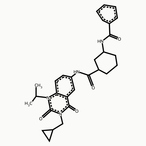 CC(C)n1c(=O)n(CC2CC2)c(=O)c2cc(NC(=O)C3CCCC(NC(=O)c4ccccc4)C3)ccc21